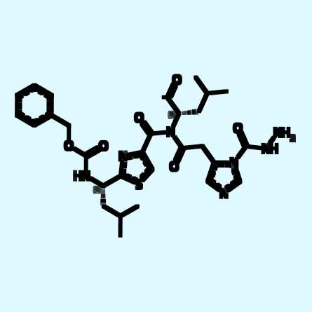 CC(C)C[C@H](NC(=O)OCc1ccccc1)c1nc(C(=O)N(C(=O)Cc2cncn2C(=O)NN)[C@H]([C]=O)CC(C)C)cs1